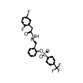 O=C(Cc1cc(F)ccc1F)N/N=C/c1ccccc1OS(=O)(=O)c1ccc(C(F)(F)F)cc1